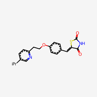 CC(C)c1ccc(CCOc2ccc(/C=C3\SC(=O)NC3=O)cc2)nc1